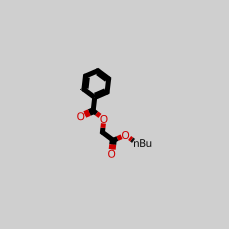 CCCCOC(=O)COC(=O)c1[c]cccc1